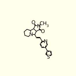 CN1C(=O)C2C(C1=O)C1CCCCN1C2C=Cc1ccc(-c2ccsc2)cn1